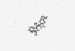 Cn1ccc2cc3c(cc21)CCN3C(=O)c1c[nH]c2ncccc12